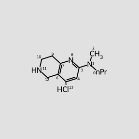 CCCN(C)c1ccc2c(n1)CCNC2.Cl